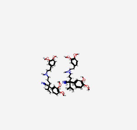 COc1ccc(CCN(C)CCCC(C#N)(c2ccc(OC)c(OC)c2)C(C)C)cc1OC.COc1ccc(CCN(C)CCCC(C#N)(c2ccc(OC)c(OC)c2)C(C)C)cc1OC